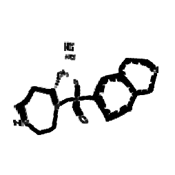 C[C@H]1CCNCCN1S(=O)(=O)c1ccc2cnccc2c1.Cl.Cl